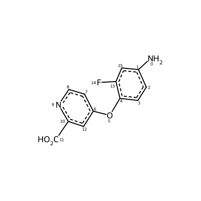 Nc1ccc(Oc2ccnc(C(=O)O)c2)c(F)c1